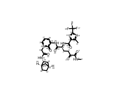 CNC(=O)C(=O)CC[C@H](NC(=O)c1sc(C(F)(F)F)nc1C)C(=O)Nc1cccn(CC(=O)N[C@@H]2C[C@H]3CC[C@@H]2C3)c1=O